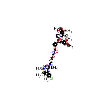 CC[C@H](C(=O)N1CCCC[C@H]1C(=O)O[C@H](CCc1ccc(OC)c(OC)c1)c1cccc(OCC(=O)NCCOCCOCCNC(=O)[C@H](CC)[C@@H]2N=C(c3ccc(Cl)cc3)c3c(sc(C)c3C)-n3c(C)nnc32)c1)c1cc(OC)c(OC)c(OC)c1